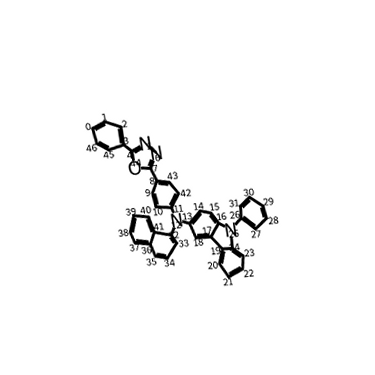 c1ccc(-c2nnc(-c3ccc(N(c4ccc5c(c4)c4ccccc4n5-c4ccccc4)c4cccc5ccccc45)cc3)o2)cc1